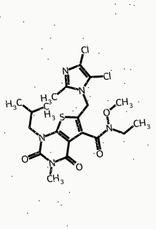 CCN(OC)C(=O)c1c(Cn2c(C)nc(Cl)c2Cl)sc2c1c(=O)n(C)c(=O)n2CC(C)C